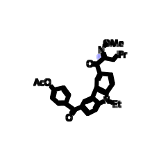 CCn1c2ccc(C(=O)/C(CC(C)C)=N/OC)cc2c2cc(C(=O)c3ccc(OC(C)=O)cc3)ccc21